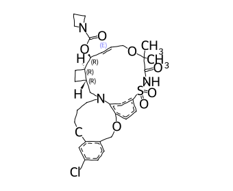 CC1(C)OC/C=C/[C@H](OC(=O)N2CCC2)[C@@H]2CC[C@H]2CN2CCCCc3cc(Cl)ccc3COc3ccc(cc32)S(=O)(=O)NC1=O